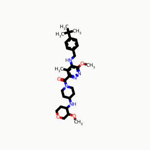 COc1nnc(C(=O)N2CCC(NC3CCOCC3OC)CC2)c(C)c1NCc1ccc(C(C)(C)C)cc1